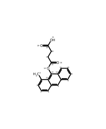 Cc1cccc2cc3ccccc3c(OC(=O)CCC(=O)O)c12